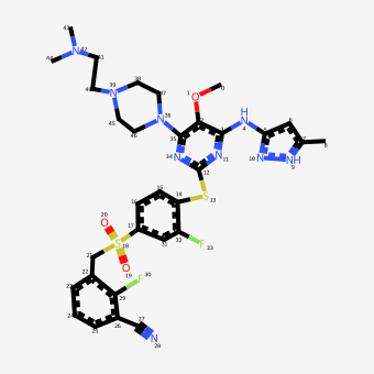 COc1c(Nc2cc(C)[nH]n2)nc(Sc2ccc(S(=O)(=O)Cc3cccc(C#N)c3F)cc2F)nc1N1CCN(CCN(C)C)CC1